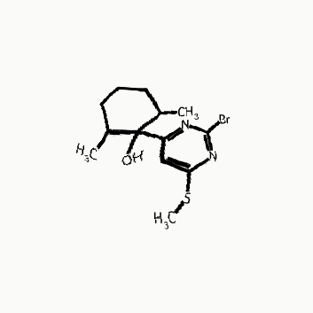 CSc1cc(C2(O)C(C)CCCC2C)nc(Br)n1